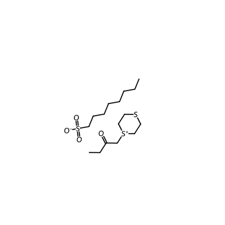 CCC(=O)C[S+]1CCSCC1.CCCCCCCCS(=O)(=O)[O-]